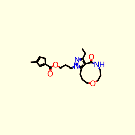 CCc1nn(CCCOC(=O)C2=CC(C)=CC2)c2c1C(=O)NCCCOCCC2